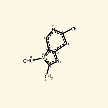 Cc1nc2cc(Cl)ncc2n1C=O